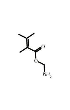 CC(C)=C(C)C(=O)OCN